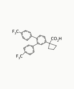 O=C(O)C1(c2ccc(-c3ccc(C(F)(F)F)cc3)c(-c3ccc(C(F)(F)F)cc3)c2)CCC1